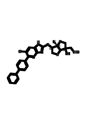 O=CC[C@@]1(O)CO[C@H]2C1OC[C@H]2Oc1nc2nc(-c3ccc(-c4ccccc4)cc3)c(Cl)cc2[nH]1